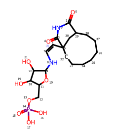 O=C1NC(=O)C2(/C=C\NC3OC(COP(=O)(O)O)C(O)C3O)CCCCCCCC1C2